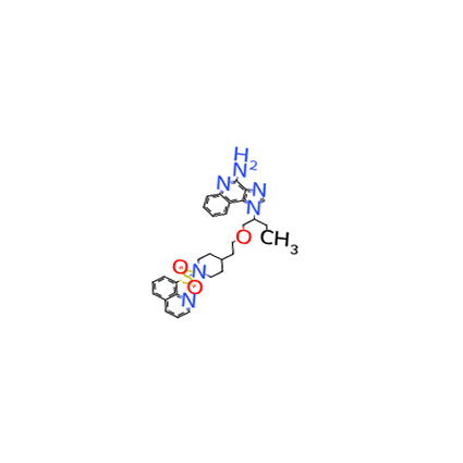 CCC(COCCC1CCN(S(=O)(=O)c2cccc3cccnc23)CC1)n1cnc2c(N)nc3ccccc3c21